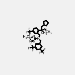 COC(C)(CC1CCCC1)c1ccc(C(F)(F)F)cc1CN(Cc1cc(C(F)(F)F)cc(C(F)(F)F)c1)c1nnn(C)n1